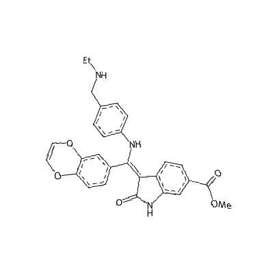 CCNCc1ccc(NC(=C2C(=O)Nc3cc(C(=O)OC)ccc32)c2ccc3c(c2)OC=CO3)cc1